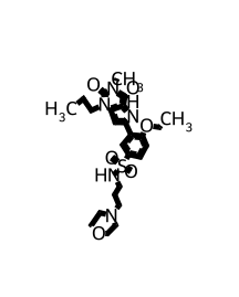 CCCn1c(=O)n(C)c(=O)c2[nH]c(-c3cc(S(=O)(=O)NCCCN4CCOCC4)ccc3OCC)cc21